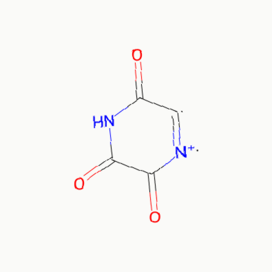 O=C1[C]=[N+]C(=O)C(=O)N1